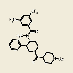 CC(=O)N1CCC(C(=O)N2CC[C@@H](N(C)C(=O)c3cc(C(F)(F)F)cc(C(F)(F)F)c3)[C@H](c3ccccc3)C2)CC1